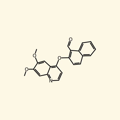 COc1cc2nccc(Oc3ccc4ccccc4c3C=O)c2cc1OC